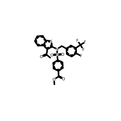 COC(=O)c1ccc(S(=O)(=O)N(Cc2ccc(F)c(C(F)(F)F)c2)c2sc3ccccc3c2C(C)=O)cc1